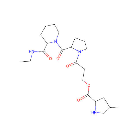 CCNC(=O)C1CCCCN1C(=O)C1CCCN1C(=O)CCOC(=O)C1CC(C)CN1